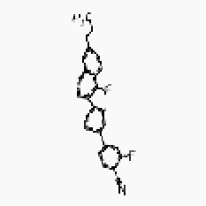 CCCc1ccc2c(F)c(-c3ccc(-c4ccc(C#N)c(F)c4)cc3)ccc2c1